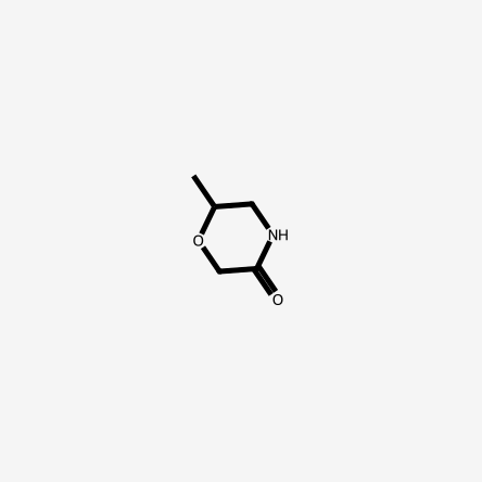 CC1CNC(=O)CO1